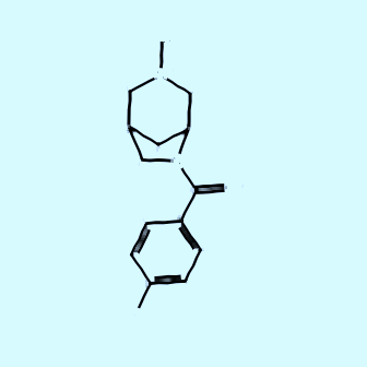 CCc1ccc(C(=O)N2CC3CC2CN(C)C3)cc1